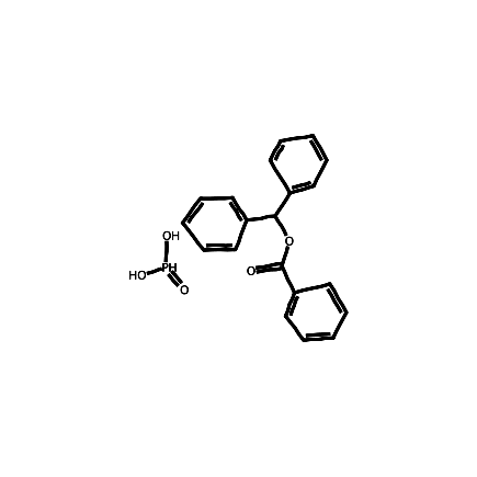 O=C(OC(c1ccccc1)c1ccccc1)c1ccccc1.O=[PH](O)O